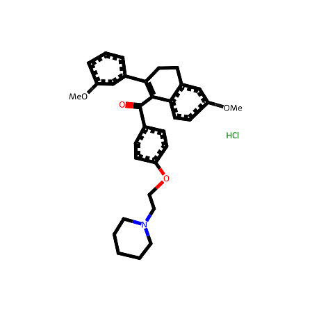 COc1cccc(C2=C(C(=O)c3ccc(OCCN4CCCCC4)cc3)c3ccc(OC)cc3CC2)c1.Cl